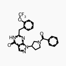 O=C(c1ccccc1)N1CCC(n2ncc3c(=O)[nH]c(Cc4ccccc4OC(F)(F)F)nc32)C1